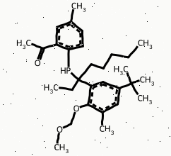 CCCCCC(CC)(Pc1ccc(C)cc1C(C)=O)c1cc(C(C)(C)C)cc(C)c1OCOC